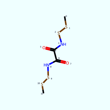 CSSNC(=O)C(=O)NSSC